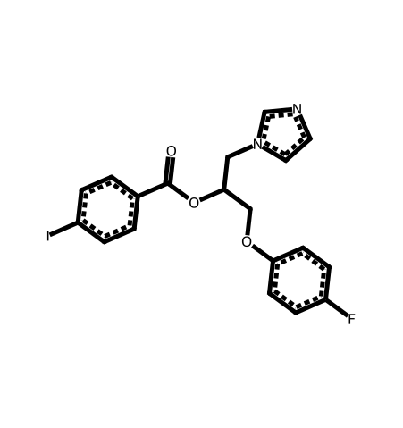 O=C(OC(COc1ccc(F)cc1)Cn1ccnc1)c1ccc(I)cc1